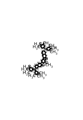 COc1c2oc3cc4cc(N(c5cc(C)c(C)c(C)c5)c5cc(C)c(C)c(C)c5)ccc4cc3c2cc2c1oc1cc3cc(N(c4cc(C)c(C)c(C)c4)c4cc(C)c(C)c(C)c4)ccc3cc12